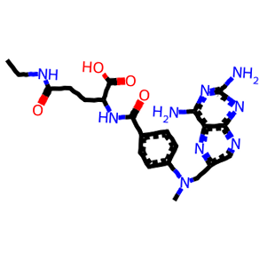 CCNC(=O)CCC(NC(=O)c1ccc(N(C)Cc2cnc3nc(N)nc(N)c3n2)cc1)C(=O)O